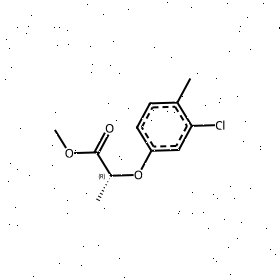 COC(=O)[C@@H](C)Oc1ccc(C)c(Cl)c1